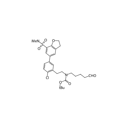 CNS(=O)(=O)c1cc(-c2ccc(Cl)c(CCN(CCCCC=O)C(=O)OC(C)(C)C)c2)cc2c1OCC2